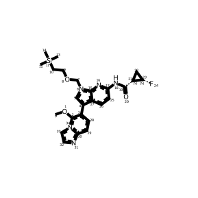 COc1c(-c2cn(COCC[Si](C)(C)C)c3nc(NC(=O)[C@@H]4C[C@@H]4F)ccc23)ccc2nccn12